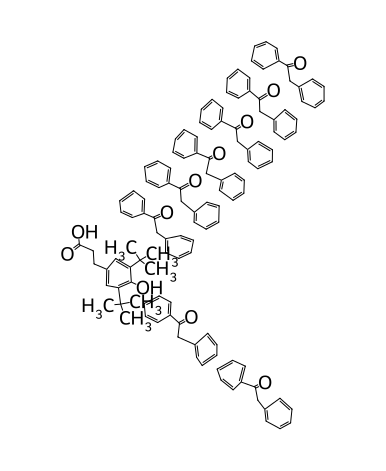 CC(C)(C)c1cc(CCC(=O)O)cc(C(C)(C)C)c1O.O=C(Cc1ccccc1)c1ccccc1.O=C(Cc1ccccc1)c1ccccc1.O=C(Cc1ccccc1)c1ccccc1.O=C(Cc1ccccc1)c1ccccc1.O=C(Cc1ccccc1)c1ccccc1.O=C(Cc1ccccc1)c1ccccc1.O=C(Cc1ccccc1)c1ccccc1.O=C(Cc1ccccc1)c1ccccc1